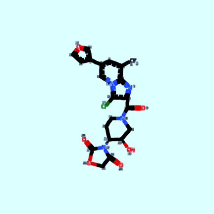 O=C(c1nc2c(C(F)(F)F)cc(-c3ccoc3)cn2c1Cl)N1CC[C@@H](N2C(=O)COC2=O)[C@H](O)C1